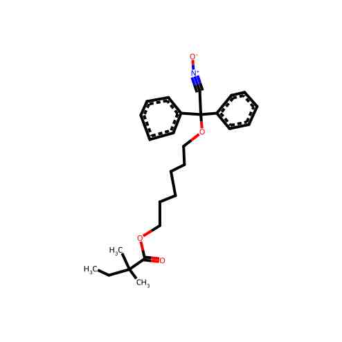 CCC(C)(C)C(=O)OCCCCCCOC(C#[N+][O-])(c1ccccc1)c1ccccc1